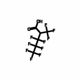 O=C(O)C(C(F)(F)F)C(F)(F)C(F)(F)C(F)(F)F